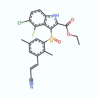 CCOC(=O)c1[nH]c2ccc(Cl)c(F)c2c1[PH](=O)c1cc(C)cc(C=CC#N)c1C